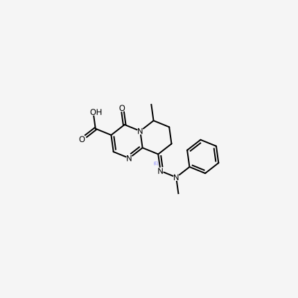 CC1CC/C(=N\N(C)c2ccccc2)c2ncc(C(=O)O)c(=O)n21